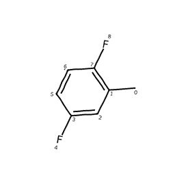 Cc1cc(F)c[c]c1F